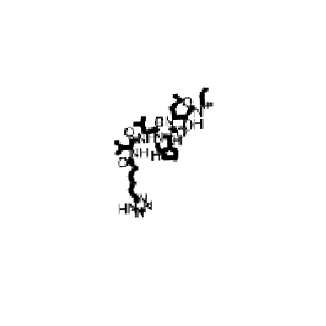 CCCC(NC(=O)[C@@H]1[C@H]2CCC[C@H]2CN1C(=O)[C@@H](NC(=O)[C@H](NC(=O)CCCCc1nnn[nH]1)C(C)C)C(C)C)C(=O)C(=O)N[C@H](C)CC